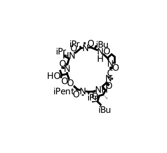 CCCC(C)C1OC(=O)C(C(C)(C)O)N(C)C(=O)C(CC(C)C)NC(=O)C(C(C)C)N(C)C(=O)C(C(C)CC)NC(=O)C2CCCN2C(=O)CN(C)C(=O)C(C[C@H](C)C[C@H](C)C[C@H](C)CC)NC(=O)C(C(C)C)N(C)C1=O